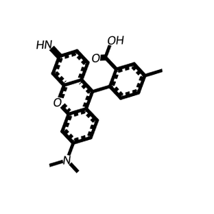 Cc1ccc(-c2c3ccc(=N)cc-3oc3cc(N(C)C)ccc23)c(C(=O)O)c1